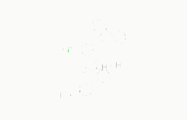 CC1=Cc2c(-c3cc4ccccc4c4ccccc34)cccc2[CH]1[Zr+2]1([CH]2c3cc(C)ccc3-c3ccc(C)cc32)[CH2][CH2]1.[Cl-].[Cl-]